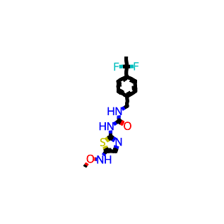 CONc1cnc(NC(=O)NCc2ccc(C(C)(F)F)cc2)s1